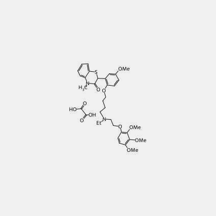 CCN(CCCCOc1ccc(OC)cc1C1Sc2ccccc2N(C)C1=O)CCOc1ccc(OC)c(OC)c1OC.O=C(O)C(=O)O